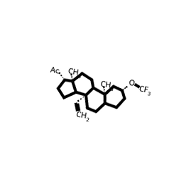 C=C[C@@]12CCC3CC[C@@H](OC(F)(F)F)C[C@]3(C)C1CC[C@@]1(C)C2CC[C@@H]1C(C)=O